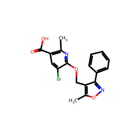 Cc1nc(OCc2c(-c3ccccc3)noc2C)c(Br)cc1C(=O)O